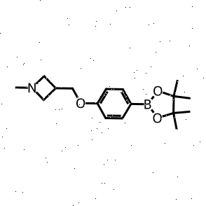 CN1CC(COc2ccc(B3OC(C)(C)C(C)(C)O3)cc2)C1